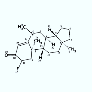 CN1C[C@H]2[C@@H]3CCC[C@@]3(C)CC[C@@H]2[C@@]2(C)CC(F)C(=O)C=C12